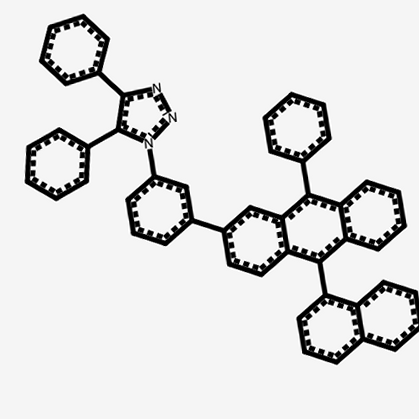 c1ccc(-c2nnn(-c3cccc(-c4ccc5c(-c6cccc7ccccc67)c6ccccc6c(-c6ccccc6)c5c4)c3)c2-c2ccccc2)cc1